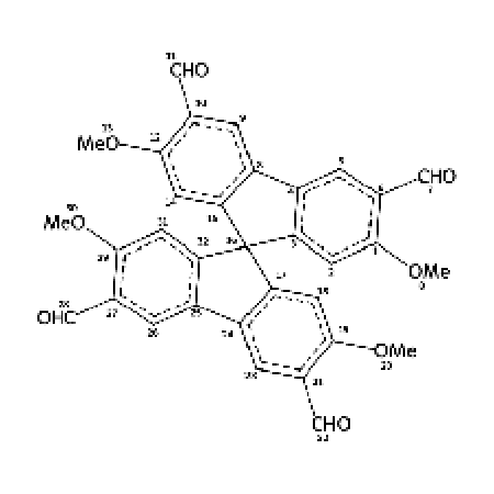 COc1cc2c(cc1C=O)-c1cc(C=O)c(OC)cc1C21c2cc(OC)c(C=O)cc2-c2cc(C=O)c(OC)cc21